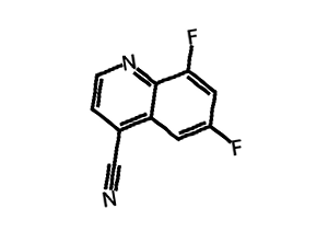 N#Cc1ccnc2c(F)cc(F)cc12